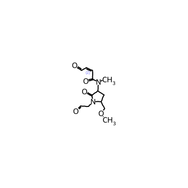 COCC1CC(N(C)C(=O)/C=C\C=O)C(=O)N1CC=O